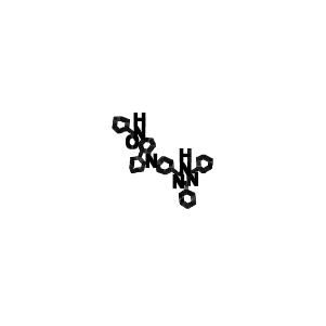 C1=CC2c3c(ccc4c3OC(c3ccccc3)N4)N(c3ccc(C4N=C(c5ccccc5)N=C(c5ccccc5)N4)cc3)C2C=C1